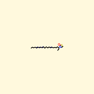 CCCC/C=C/C=C/C=C/CCCC/C=C/CCCCC(CC)N1CCSC1=O